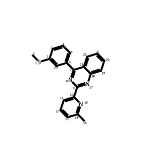 CSc1cccc(-c2nc(-c3cccc(C)n3)nc3ccccc23)c1